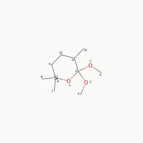 COC1(OC)O[Si](C)(C)CCC1C